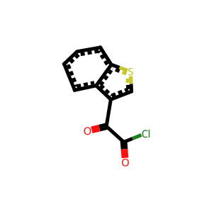 O=C(Cl)C(=O)c1csc2ccccc12